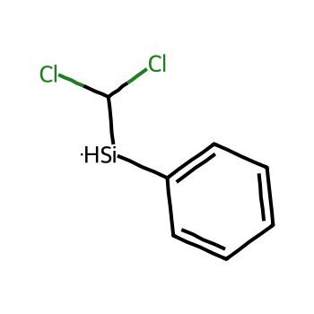 ClC(Cl)[SiH]c1ccccc1